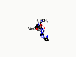 COc1cc2c(cc1OC)[C@]1(CC[C@@H](C(=O)N3CCN(c4ccnc(NCc5ccccc5)c4)CC3)CC1)N(C(=O)CCN(C)C)CC2